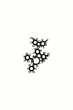 Cc1ccc2c(c1)c1cc(C)ccc1n2-c1ccc(/C2=N/C(c3ccccc3)=N\C(c3ccccc3)=C/CCC2)c(-c2cc(F)cc(F)c2)c1